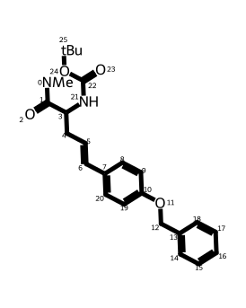 CNC(=O)C(CC=Cc1ccc(OCc2ccccc2)cc1)NC(=O)OC(C)(C)C